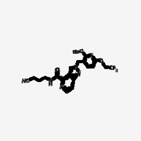 COc1nc(OCC(F)(F)F)ccc1Cn1cc2c(C(=O)NCCCO)nccc2n1